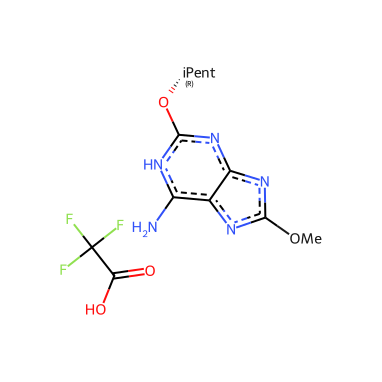 CCC[C@@H](C)Oc1nc2nc(OC)nc-2c(N)[nH]1.O=C(O)C(F)(F)F